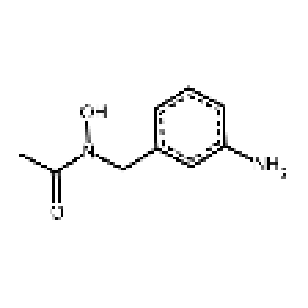 CC(=O)N(O)Cc1cccc(N)c1